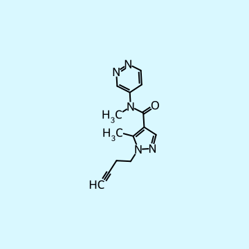 C#CCCn1ncc(C(=O)N(C)c2ccnnc2)c1C